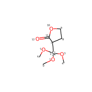 CO[Si](OC)(OC)C1CCOC1=O